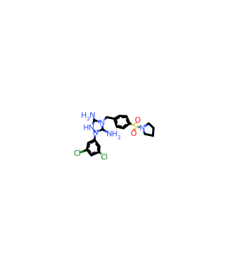 NC1NN(c2cc(Cl)cc(Cl)c2)C(N)N1Cc1ccc(S(=O)(=O)N2CCCC2)cc1